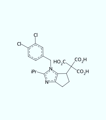 CC(C)c1nc2c(n1Cc1ccc(Cl)c(Cl)c1)C(C(C(=O)O)(C(=O)O)C(=O)O)CC2